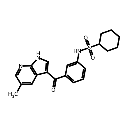 Cc1cnc2[nH]cc(C(=O)c3cccc(NS(=O)(=O)C4CCCCC4)c3)c2c1